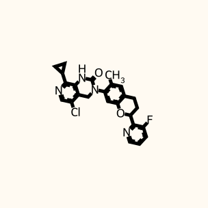 Cc1cc2c(cc1N1Cc3c(Cl)cnc(C4CC4)c3NC1=O)OC(c1ncccc1F)CC2